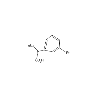 CCCCN(C(=O)O)c1cccc(C(C)C)c1